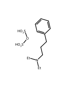 CCN(CC)CCCc1ccccc1.O=S(=O)(O)OS(=O)(=O)O